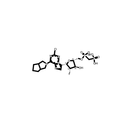 O=P(O)(O)CP(=O)(O)OC[C@H]1O[C@@H](c2cnc3c(N4CC5CCCC5C4)nc(Cl)nn23)[C@@H](F)[C@@H]1O